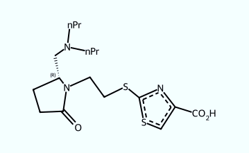 CCCN(CCC)C[C@H]1CCC(=O)N1CCSc1nc(C(=O)O)cs1